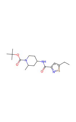 CCc1cc(C(=O)NC2CCN(C(=O)OC(C)(C)C)C(C)C2)ns1